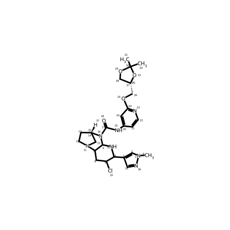 Cn1cc(C2NC3C(CC2Cl)N2CC[C@@H](C2)N3C(=O)Nc2ccnc(OC[C@@H]3COC(C)(C)O3)c2)cn1